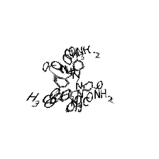 COc1ccc(-c2nc3c(OC)c(C(N)=O)ccc3n2CCn2c(-c3ccc(OC)cc3C(=O)O)nc3c(OC)c(C(N)=O)ccc32)c(C(=O)O)c1